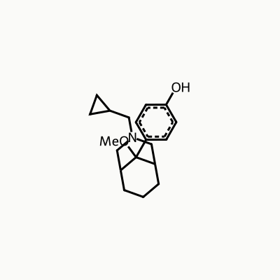 COC1(c2ccc(O)cc2)C2CCCC1CN(CC1CC1)C2